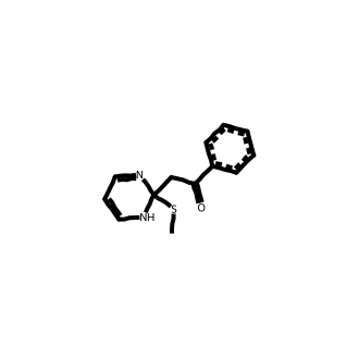 CSC1(CC(=O)c2ccccc2)N=CC=CN1